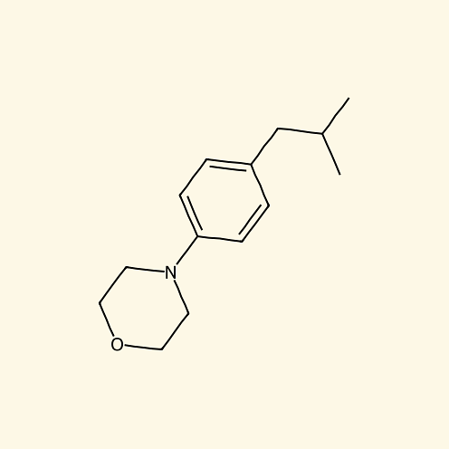 CC(C)Cc1ccc(N2CCOCC2)cc1